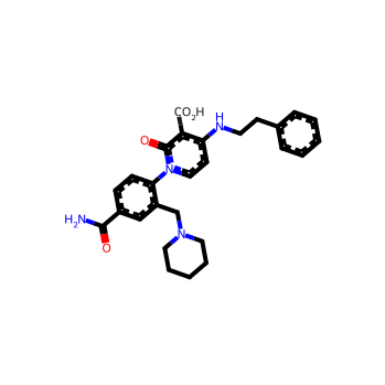 NC(=O)c1ccc(-n2ccc(NCCc3ccccc3)c(C(=O)O)c2=O)c(CN2CCCCC2)c1